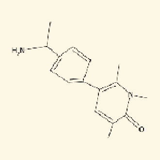 Cc1cc(-c2ccc(C(C)N)cc2)c(C)n(C)c1=O